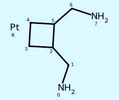 NCC1CCC1CN.[Pt]